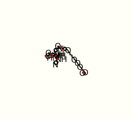 COC(=O)CCCOCCOCCOCCCCCCOc1ccc([C@@H](C)NC(=O)c2cccc(NC3(C(=N)NC(=N)c4ccncc4)CCN(C(=O)OC(C)(C)C)CC3)c2)cc1